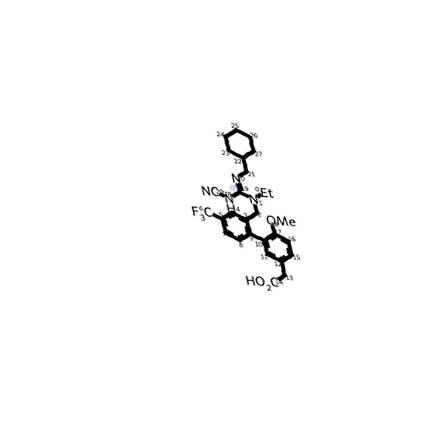 CCN(Cc1cc(C(F)(F)F)ccc1-c1cc(CC(=O)O)ccc1OC)/C(=N\CC1CCCCC1)NC#N